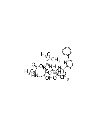 CC(C)C[C@H](NC(=O)[C@@H](NC(=O)c1cccc(-c2ccccc2)n1)[C@@H](C)O)B1OC(=O)CN[C@H](C)C(=O)O1